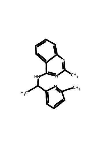 Cc1cccc(C(C)Nc2nc(C)nc3ccccc23)n1